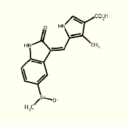 Cc1c(C(=O)O)c[nH]c1/C=C1\C(=O)Nc2ccc([S+](C)[O-])cc21